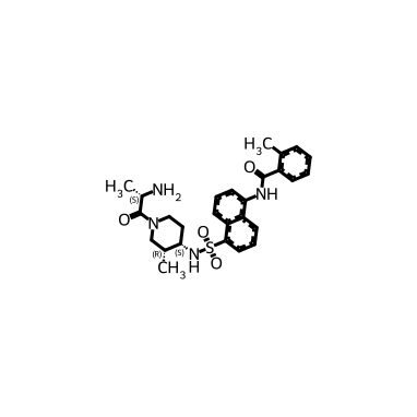 Cc1ccccc1C(=O)Nc1cccc2c(S(=O)(=O)N[C@H]3CCN(C(=O)[C@H](C)N)C[C@H]3C)cccc12